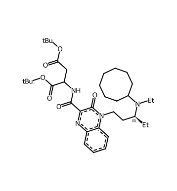 CC[C@@H](CCn1c(=O)c(C(=O)NC(CC(=O)OC(C)(C)C)C(=O)OC(C)(C)C)nc2ccccc21)N(CC)C1CCCCCCC1